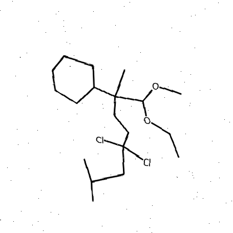 CCOC(OC)C(C)(CCC(Cl)(Cl)CC(C)C)C1CCCCC1